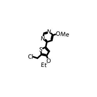 CCOc1cc(-c2cc(OC)ncn2)sc1CCl